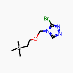 C[Si](C)(C)CCOCn1cnnc1Br